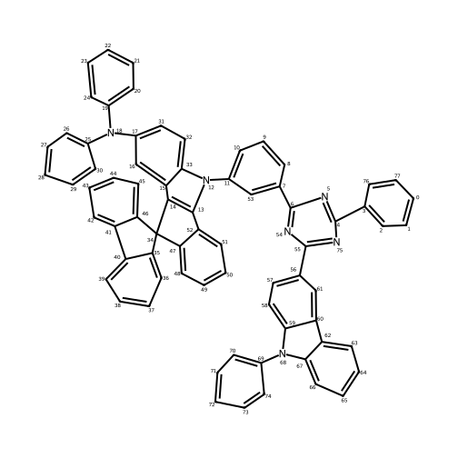 c1ccc(-c2nc(-c3cccc(-n4c5c(c6cc(N(c7ccccc7)c7ccccc7)ccc64)C4(c6ccccc6-c6ccccc64)c4ccccc4-5)c3)nc(-c3ccc4c(c3)c3ccccc3n4-c3ccccc3)n2)cc1